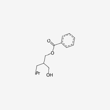 CC(C)CC(CO)COC(=O)c1ccccc1